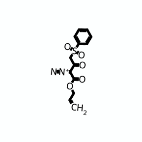 C=CCOC(=O)C(=[N+]=[N-])C(=O)CS(=O)(=O)c1ccccc1